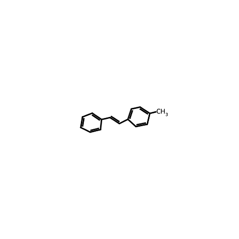 Cc1ccc(/C=C/c2ccccc2)cc1